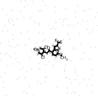 COc1ccc(C(=O)Cc2c(Cl)c[n+]([O-])cc2Cl)c2cc(C(F)F)nn12